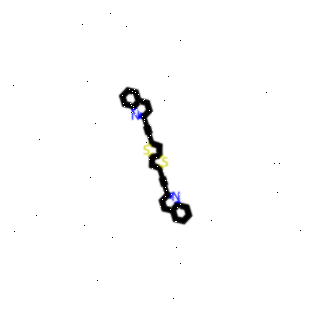 C(#Cc1cc2sc(C#Cc3ccc4ccccc4n3)cc2s1)c1ccc2ccccc2n1